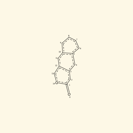 O=c1cc2cc3ccccc3cc2co1